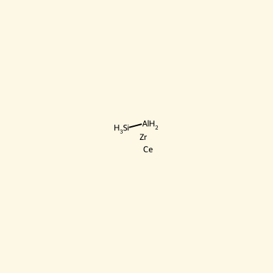 [AlH2][SiH3].[Ce].[Zr]